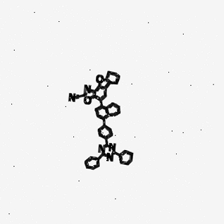 N#Cc1nc2c(o1)c(-c1ccc(-c3ccc(-c4nc(-c5ccccc5)nc(-c5ccccc5)n4)cc3)c3ccccc13)cc1c3ccccc3oc12